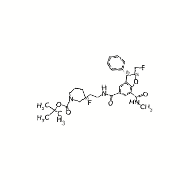 CNC(=O)c1cc(C(=O)NCC[C@]2(F)CCCN(C(=O)OC(C)(C)C)C2)cc2c1O[C@H](CF)[C@H]2c1ccccc1